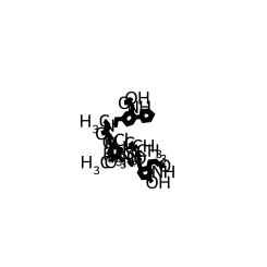 COc1cc(OCC(=O)N(C)CCc2ccc(-c3ccccc3)c(NC(=O)O)c2)c(Cl)cc1CNC[C@H](O[Si](C)(C)C(C)(C)C)c1ccc(O)c2[nH]c(=O)ccc12